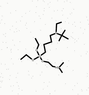 CCO[Si](CCCCN(CC)C(C)(C)C)(OCC)OCC[SiH](C)C